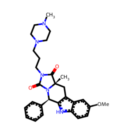 COc1ccc2[nH]c3c(c2c1)C[C@@]1(C)C(=O)N(CCCN2CCN(C)CC2)C(=O)N1[C@@H]3c1ccccc1